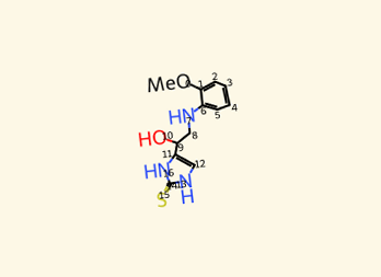 COc1ccccc1NCC(O)c1c[nH]c(=S)[nH]1